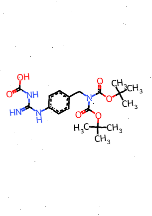 CC(C)(C)OC(=O)N(Cc1ccc(NC(=N)NC(=O)O)cc1)C(=O)OC(C)(C)C